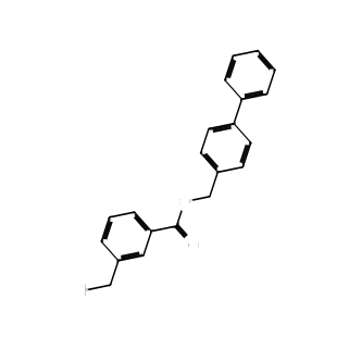 O=C(OCc1ccc(-c2ccccc2)cc1)c1cccc(CCl)c1